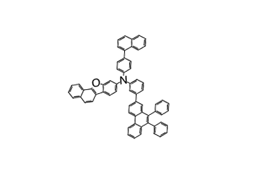 c1ccc(-c2c(-c3ccccc3)c3cc(-c4cccc(N(c5ccc(-c6cccc7ccccc67)cc5)c5ccc6c(c5)oc5c7ccccc7ccc65)c4)ccc3c3ccccc23)cc1